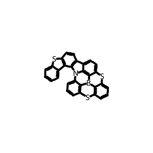 c1cc2c3c(c1)Sc1ccc4c5ccc6sc7ccccc7c6c5n5c4c1B3c1c(cccc1-5)S2